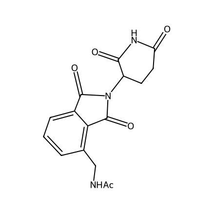 [CH2]C(=O)NCc1cccc2c1C(=O)N(C1CCC(=O)NC1=O)C2=O